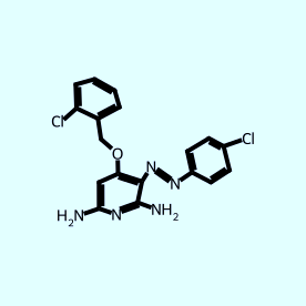 Nc1cc(OCc2ccccc2Cl)c(N=Nc2ccc(Cl)cc2)c(N)n1